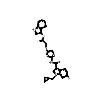 O=C(CSc1csc(NC(=O)c2cn(CC3CC3)c3cc(F)ccc23)n1)Oc1c[nH]c2ccccc12